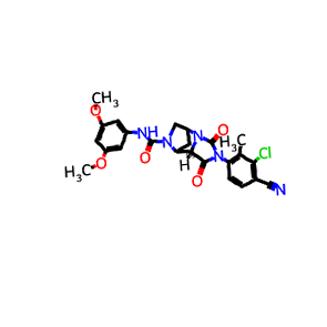 COc1cc(NC(=O)N2CC3CC2[C@H]2C(=O)N(c4ccc(C#N)c(Cl)c4C)C(=O)N32)cc(OC)c1